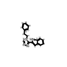 C1=NN=C(c2cc3ccccc3[nH]2)[SH]1CCc1ccccc1